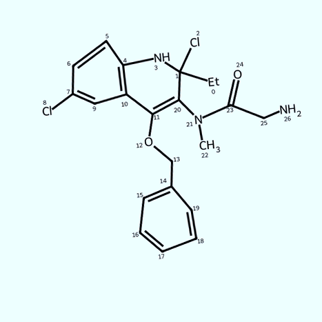 CCC1(Cl)Nc2ccc(Cl)cc2C(OCc2ccccc2)=C1N(C)C(=O)CN